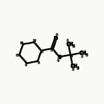 CC(C)(C)[N]C(=O)C1CCCCC1